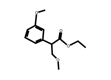 CCOC(=O)C(COC)c1cccc(OC)c1